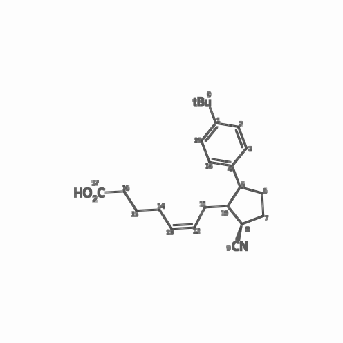 CC(C)(C)c1ccc(C2CC[C@@H](C#N)C2C/C=C\CCCC(=O)O)cc1